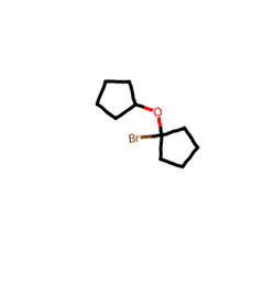 BrC1(OC2CCCC2)CCCC1